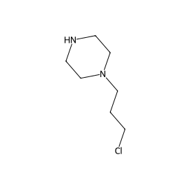 ClCCCN1CCNCC1